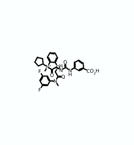 CN(C(=O)COc1ccccc1[N+](C)(C(=O)CNC(=O)Nc1cccc(C(=O)O)c1)C1CCCC1)c1cc(F)cc(F)c1